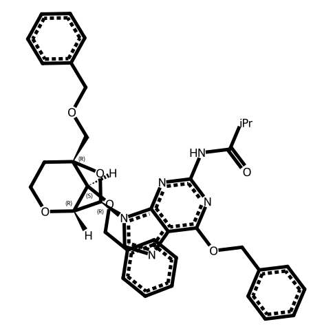 CC(C)C(=O)Nc1nc(OCc2ccccc2)c2ncn([C@@H]3O[C@@]4(COCc5ccccc5)CCO[C@@H]3[C@@H]4OCc3ccccc3)c2n1